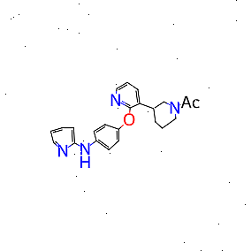 CC(=O)N1CCCC(c2cccnc2Oc2ccc(Nc3ccccn3)cc2)C1